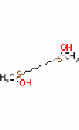 CC(CO)SCCCCCCCCCCSC(C)CO